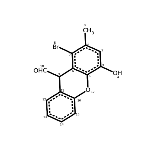 Cc1cc(O)c2c(c1Br)C(C=O)c1ccccc1O2